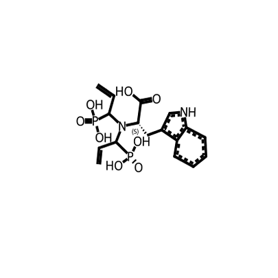 C=CC(N(C(C=C)P(=O)(O)O)[C@@H](Cc1c[nH]c2ccccc12)C(=O)O)P(=O)(O)O